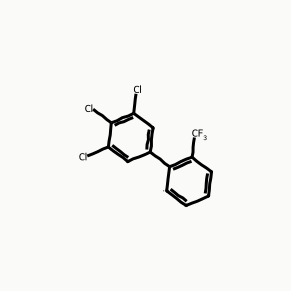 FC(F)(F)c1ccc[c]c1-c1cc(Cl)c(Cl)c(Cl)c1